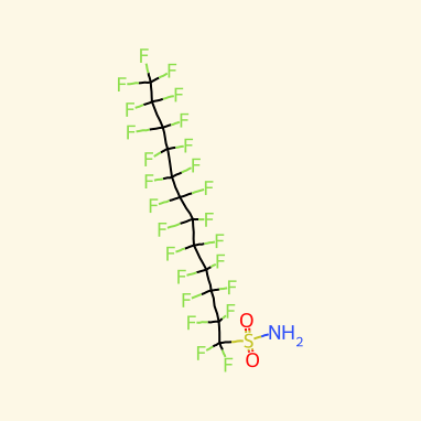 NS(=O)(=O)C(F)(F)C(F)(F)C(F)(F)C(F)(F)C(F)(F)C(F)(F)C(F)(F)C(F)(F)C(F)(F)C(F)(F)C(F)(F)C(F)(F)F